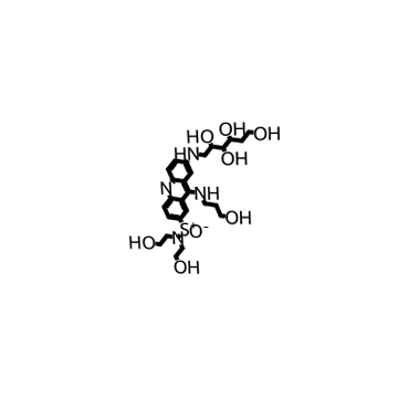 [O-][S+](c1ccc2nc3ccc(NCC(O)C(O)C(O)CCO)cc3c(NCCCO)c2c1)N(CCO)CCO